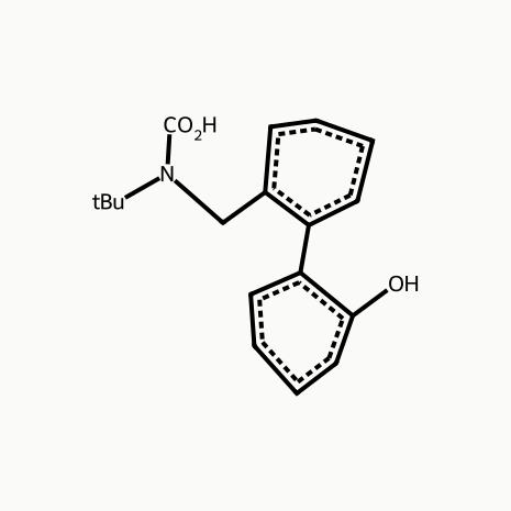 CC(C)(C)N(Cc1ccccc1-c1ccccc1O)C(=O)O